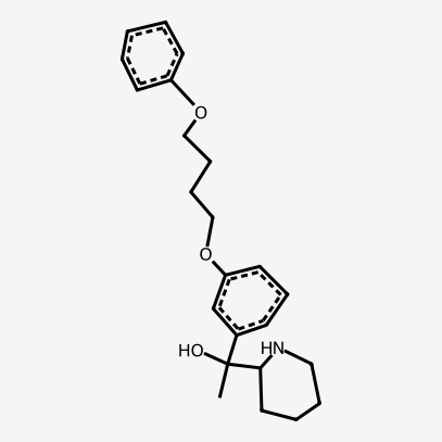 CC(O)(c1cccc(OCCCCOc2ccccc2)c1)C1CCCCN1